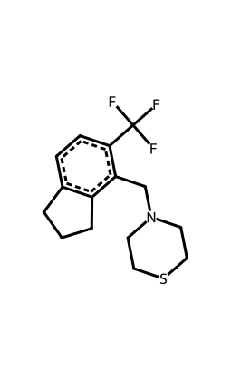 FC(F)(F)c1ccc2c(c1CN1CCSCC1)CCC2